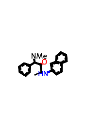 CNC(C(=O)[C@H](C)Nc1ccc2ccccc2c1)c1ccccc1